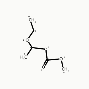 CCOC(C)OC(=O)OC